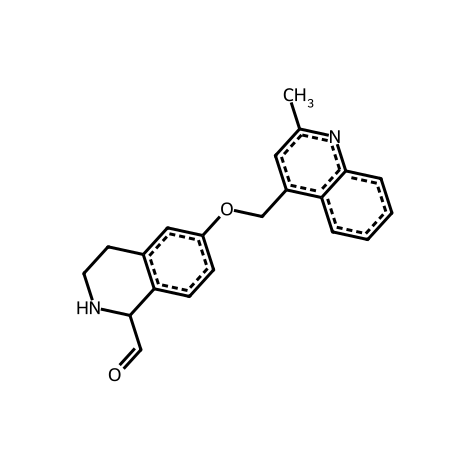 Cc1cc(COc2ccc3c(c2)CCNC3C=O)c2ccccc2n1